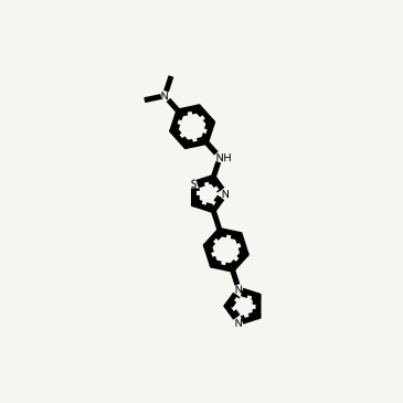 CN(C)c1ccc(Nc2nc(-c3ccc(-n4ccnc4)cc3)cs2)cc1